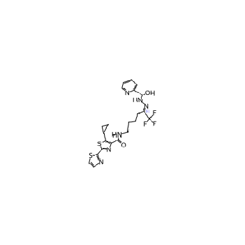 O=C(NCCCC/C(=N\NC(O)c1ccccn1)C(F)(F)F)c1nc(-c2nccs2)sc1C1CC1